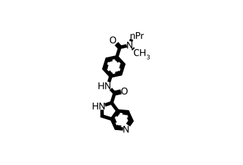 CCCN(C)C(=O)c1ccc(NC(=O)C2NCc3cnccc32)cc1